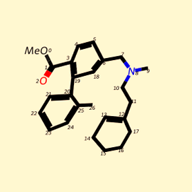 COC(=O)c1ccc(CN(C)CCC2=CCCCC2)cc1-c1ccccc1C